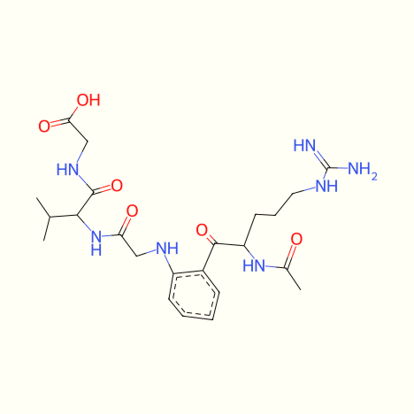 CC(=O)NC(CCCNC(=N)N)C(=O)c1ccccc1NCC(=O)NC(C(=O)NCC(=O)O)C(C)C